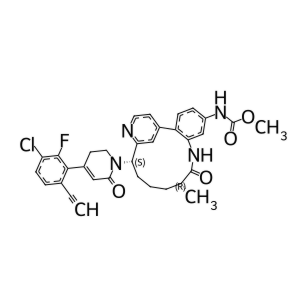 C#Cc1ccc(Cl)c(F)c1C1=CC(=O)N([C@H]2CCC[C@@H](C)C(=O)Nc3cc(NC(=O)OC)ccc3-c3ccnc2c3)CC1